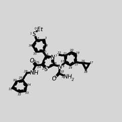 CCSc1ccc(-c2nc(N(C(N)=O)c3cc(C4CC4)ccc3C)sc2C(=O)NCc2ccccc2)cc1